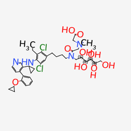 CCc1c(Cl)c(CCCCN(C[C@H](O)[C@@H](O)[C@H](O)[C@H](O)CO)C(=O)CN(C)CC(=O)O)cc(Cl)c1NC1(c2cnccc2-c2ccccc2OC2CC2)CC1